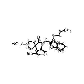 CC(C)(C)c1cncc2c1C1(CCN(C(=O)O)CC1)C(=O)N2Cc1nc2ncccc2n1CCCC(F)(F)F